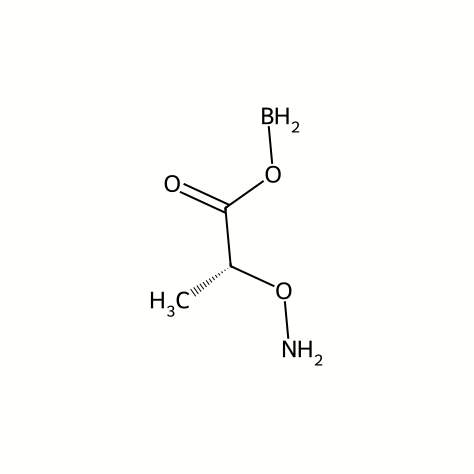 BOC(=O)[C@@H](C)ON